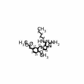 CCCCCNc1nc(N)nc2ccn(Cc3cc(CC(=O)OC)ccc3OC)c12